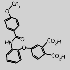 O=C(Nc1ccccc1Oc1ccc(C(=O)O)c(C(=O)O)c1)c1ccc(OC(F)(F)F)cc1